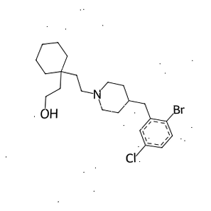 OCCC1(CCN2CCC(Cc3cc(Cl)ccc3Br)CC2)CCCCC1